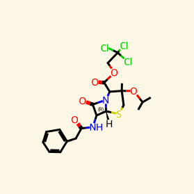 CC(C)OC1(C)CS[C@@H]2C(NC(=O)Cc3ccccc3)C(=O)N2C1C(=O)OCC(Cl)(Cl)Cl